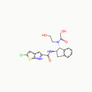 O=C(N[C@@H]1Cc2ccccc2[C@H]1N(CCO)C(=O)CO)c1cc2cc(Cl)sc2[nH]1